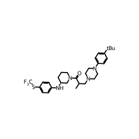 CC(CN1CCN(c2ccc(C(C)(C)C)cc2)CC1)C(=O)N1CCC[C@H](Nc2ccc(SC(F)(F)F)cc2)C1